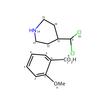 COc1ccccc1C(=O)O.ClC(Cl)C1CCNCC1